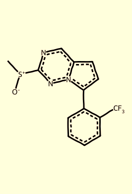 C[S+]([O-])c1ncc2ccc(-c3ccccc3C(F)(F)F)n2n1